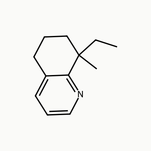 CCC1(C)CCCc2cccnc21